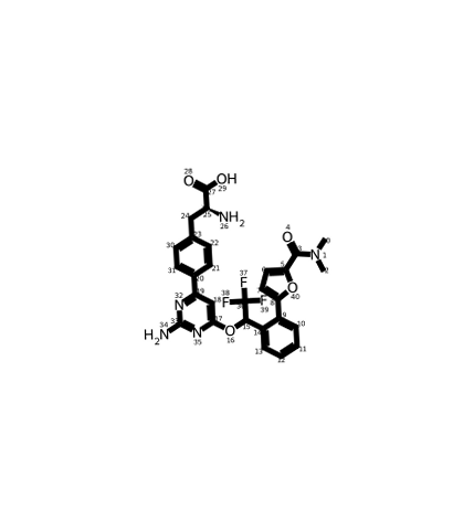 CN(C)C(=O)c1ccc(-c2ccccc2C(Oc2cc(-c3ccc(C[C@H](N)C(=O)O)cc3)nc(N)n2)C(F)(F)F)o1